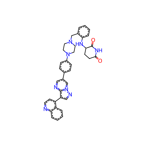 O=C1CCC(Nc2ccccc2CN2CCN(c3ccc(-c4cnc5c(-c6ccnc7ccccc67)cnn5c4)cc3)CC2)C(=O)N1